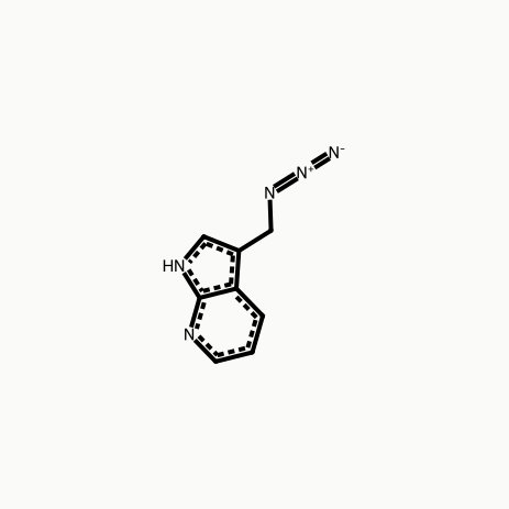 [N-]=[N+]=NCc1c[nH]c2ncccc12